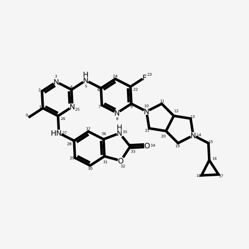 Cc1cnc(Nc2cnc(N3CC4CN(CC5CC5)CC4C3)c(F)c2)nc1Nc1ccc2oc(=O)[nH]c2c1